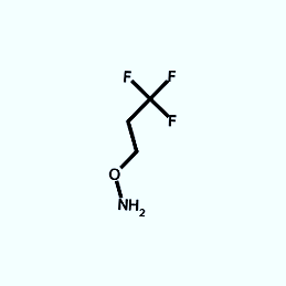 NOCCC(F)(F)F